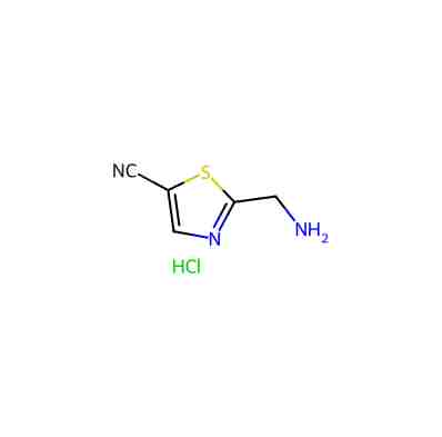 Cl.N#Cc1cnc(CN)s1